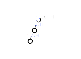 O=C(Nc1ccc(CN[C@@H]2CN[C@H](C(=O)O)C2)cc1)c1ccccc1